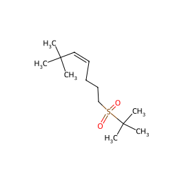 CC(C)(C)/C=C\CCCS(=O)(=O)C(C)(C)C